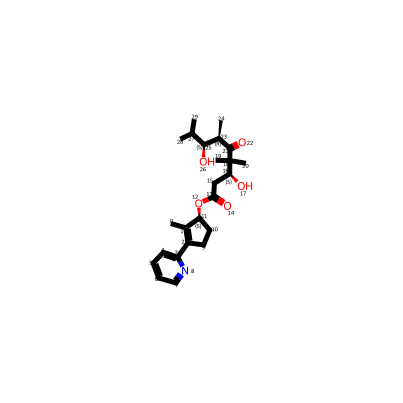 CC1=C(c2ccccn2)CC[C@@H]1OC(=O)C[C@H](O)C(C)(C)C(=O)[C@H](C)[C@@H](O)C(C)C